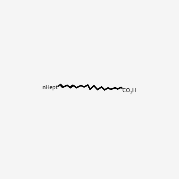 CCCCCCCC=CCC=CCCCCCCCCCCCCCCC(=O)O